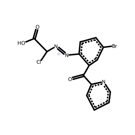 O=C(c1ccccn1)c1cc(Br)ccc1/N=N/C(Cl)C(=O)O